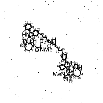 CN[C@@H](C)C(=O)N[C@H]1CCCC[C@H]2CC[C@@H](C(=O)N[C@@H](c3ccccc3)c3ccc(CCCCNC(=O)NCCCCc4ccc([C@@H](NC(=O)[C@@H]5CC[C@@H]6CCCC[C@H](NC(=O)[C@H](C)NC)C(=O)N65)c5ccccc5)cc4)cc3)N2C1=O